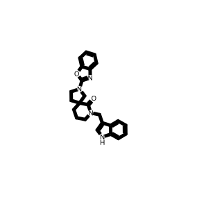 O=C1N(Cc2c[nH]c3ccccc23)CCCC12CCN(c1nc3ccccc3o1)C2